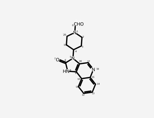 O=CN1CCC(n2c(=O)[nH]c3c4ccccc4ncc32)CC1